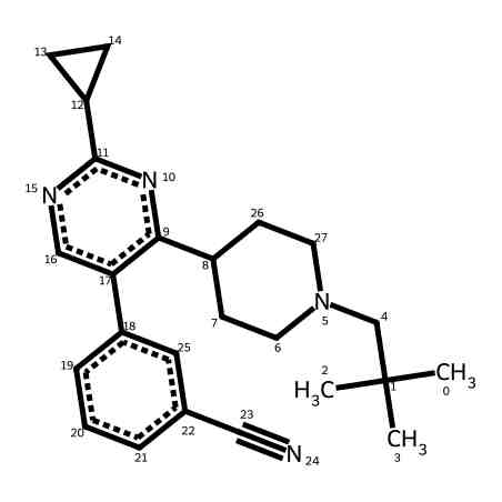 CC(C)(C)CN1CCC(c2nc(C3CC3)ncc2-c2cccc(C#N)c2)CC1